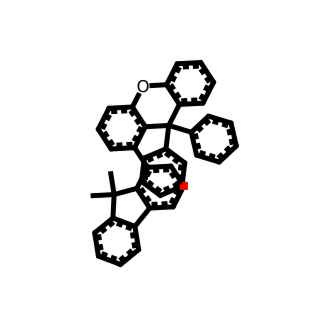 CC1(C)c2ccccc2-c2cccc(-c3cccc4c3C(c3ccccc3)(c3ccccc3)c3ccccc3O4)c21